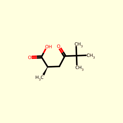 C[C@H](CC(=O)C(C)(C)C)C(=O)O